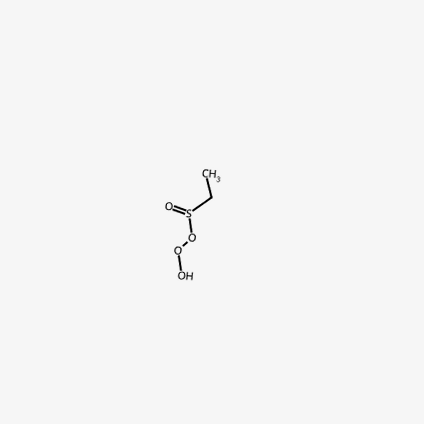 CCS(=O)OOO